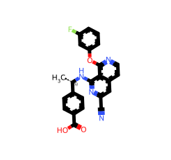 C[C@H](Nc1nc(C#N)cc2ccnc(Oc3cccc(F)c3)c12)c1ccc(C(=O)O)cc1